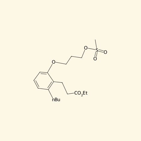 CCCCc1cccc(OCCCOS(C)(=O)=O)c1CCC(=O)OCC